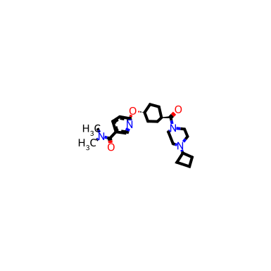 CN(C)C(=O)c1ccc(O[C@H]2CC[C@H](C(=O)N3CCN(C4CCC4)CC3)CC2)nc1